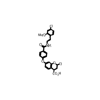 COc1cc(Cl)ccc1CCNC(=O)c1ccc(Oc2ccc3c(c2)OC(Cl)CC3C(=O)O)cc1